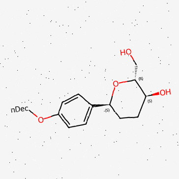 CCCCCCCCCCOc1ccc([C@@H]2CC[C@H](O)[C@@H](CO)O2)cc1